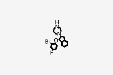 Fc1ccc(O[C@H]2c3ccccc3C[C@H]2N2CCCNCC2)c(Br)c1